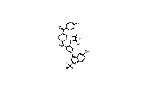 COc1ccc2nc(C(F)(F)F)nc(N3C[C@H](NC4CCN(C(=O)c5ccc(Cl)cc5)CC4)[C@@H](OC(=O)C(F)(F)F)C3)c2c1